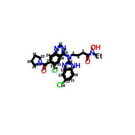 CCN(O)C(=O)CCCN(c1nc2cc(Cl)ccc2[nH]1)c1ncnc2cc(C(=O)N3CCCC3)c(Cl)cc12